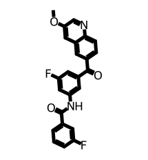 COc1cnc2ccc(C(=O)c3cc(F)cc(NC(=O)c4cccc(F)c4)c3)cc2c1